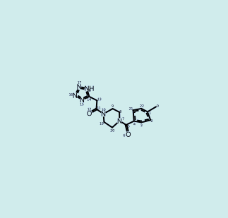 Cc1ccc(C(=O)N2CCN(C(=O)Cc3nnn[nH]3)CC2)cc1